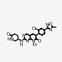 CCn1c(=O)c(-c2ccc(-c3noc(C)n3)cc2Cl)cc2cnc(NC3CCC(=O)NC3)nc21